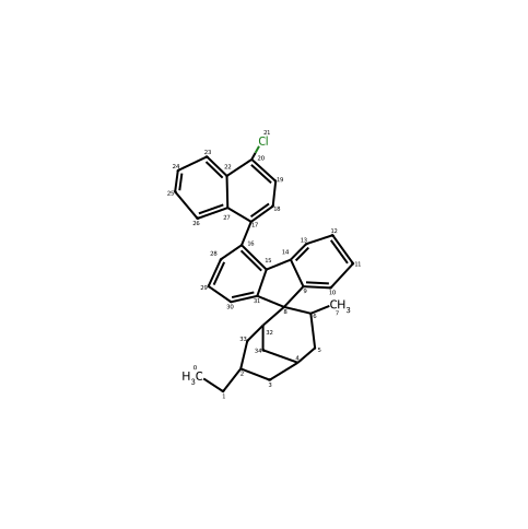 CCC1CC2CC(C)C3(c4ccccc4-c4c(-c5ccc(Cl)c6ccccc56)cccc43)C(C1)C2